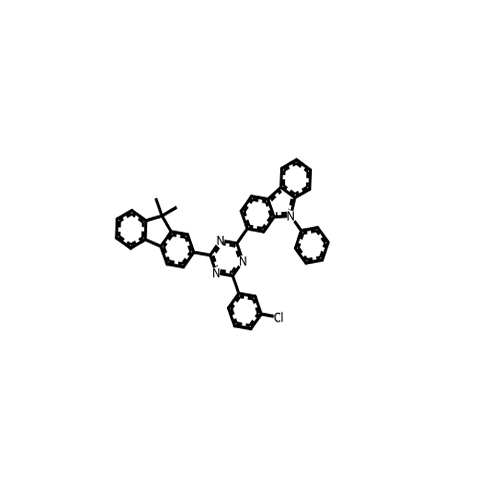 CC1(C)c2ccccc2-c2ccc(-c3nc(-c4cccc(Cl)c4)nc(-c4ccc5c6ccccc6n(-c6ccccc6)c5c4)n3)cc21